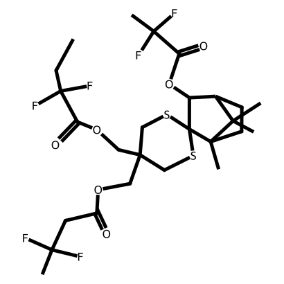 CCC(F)(F)C(=O)OCC1(COC(=O)CC(C)(F)F)CSC2(SC1)C(OC(=O)C(C)(F)F)C1CCC2(C)C1(C)C